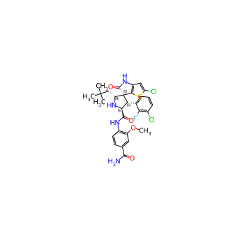 COc1cc(C(N)=O)ccc1NC(=O)[C@H]1N[C@H](CC(C)(C)C)[C@]2(C(=O)Nc3cc(Cl)sc32)[C@@H]1c1cccc(Cl)c1F